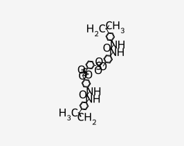 C=C(C)c1ccc(NC(=O)Nc2ccc(OS(=O)(=O)c3cccc(S(=O)(=O)Oc4ccc(NC(=O)Nc5ccc(C(=C)C)cc5)cc4)c3)cc2)cc1